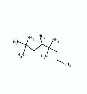 CCCC(N)(N)C(N)CC(N)(N)N